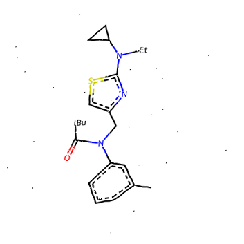 CCN(c1nc(CN(C(=O)C(C)(C)C)c2cccc(C)c2)cs1)C1CC1